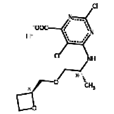 C[C@H](COC[C@@H]1CCO1)Nc1nc(Cl)nc(C(=O)[O-])c1Cl.[Li+]